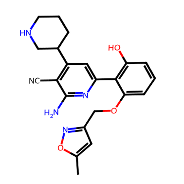 Cc1cc(COc2cccc(O)c2-c2cc(C3CCCNC3)c(C#N)c(N)n2)no1